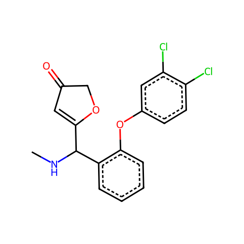 CNC(C1=CC(=O)CO1)c1ccccc1Oc1ccc(Cl)c(Cl)c1